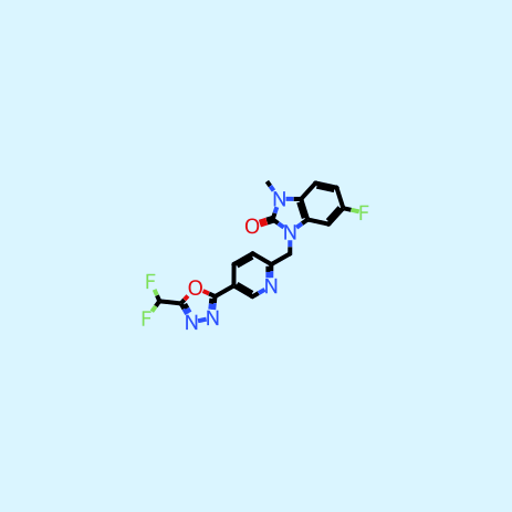 Cn1c(=O)n(Cc2ccc(-c3nnc(C(F)F)o3)cn2)c2cc(F)ccc21